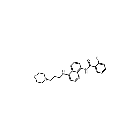 O=C(Nc1cccc2c(NCCCN3CCOCC3)ccnc12)c1ncccc1F